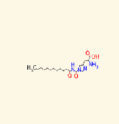 CCCCCCCCCCCC(=O)NC(=O)n1cnc(C[C@H](N)C(=O)O)c1